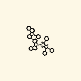 c1ccc(-c2sc3c(-c4ccccc4)nc(-n4c5ccc(-c6cccc7c8c9ccccc9ccc8n(-c8ccccc8)c67)cc5c5c6ccccc6ccc54)nc3c2-c2ccccc2)cc1